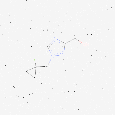 OCc1ncn(CC2(F)CC2)n1